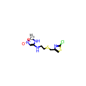 CNC(=C[N+](=O)[O-])NCCSCc1csc(Cl)n1